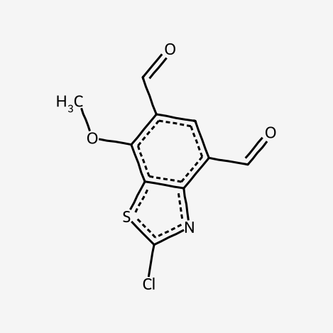 COc1c(C=O)cc(C=O)c2nc(Cl)sc12